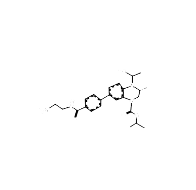 CC(C)OC(=O)N1C[C@H](C)N(C(C)O)c2ccc(-c3ccc(C(=O)NCCN)cc3)cc21